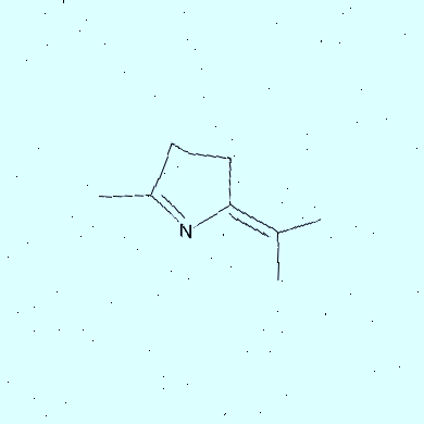 CC1=NC(=C(C)C)CC1